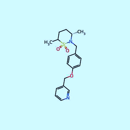 CC1CC[C@H](C)N(Cc2ccc(OCc3cccnc3)cc2)S1(=O)=O